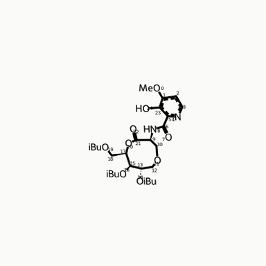 COc1ccnc(C(=O)N[C@H]2COC[C@H](OCC(C)C)[C@@H](OCC(C)C)[C@@H](COCC(C)C)OC2=O)c1O